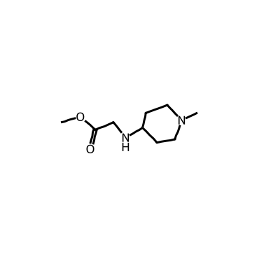 COC(=O)CNC1CCN(C)CC1